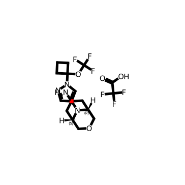 NC1C[C@H]2COC[C@@H](C1)N2c1cnn(C2(OC(F)(F)F)CCC2)c1.O=C(O)C(F)(F)F